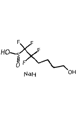 O=S(O)C(F)(F)C(F)(F)CCCCO.[NaH]